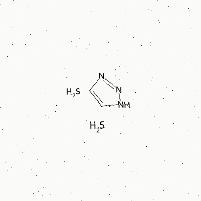 S.S.c1c[nH]nn1